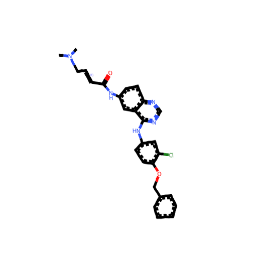 CN(C)C/C=C/C(=O)Nc1ccc2ncnc(Nc3ccc(OCc4ccccc4)c(Cl)c3)c2c1